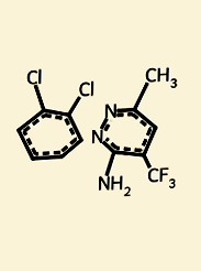 Cc1cc(C(F)(F)F)c(N)nn1.Clc1ccccc1Cl